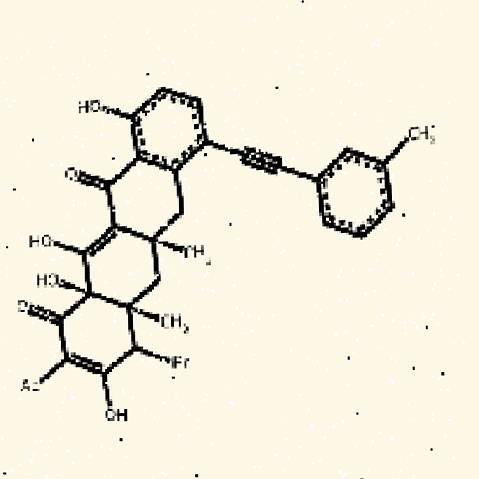 CC(=O)C1=C(O)C(C(C)C)[C@@]2(C)C[C@@]3(C)Cc4c(C#Cc5cccc(C)c5)ccc(O)c4C(=O)C3=C(O)[C@@]2(O)C1=O